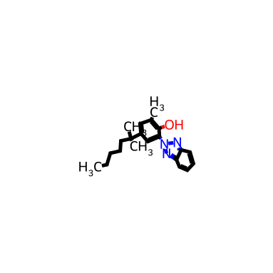 CCCCCC(C)(C)c1cc(C)c(O)c(-n2nc3ccccc3n2)c1